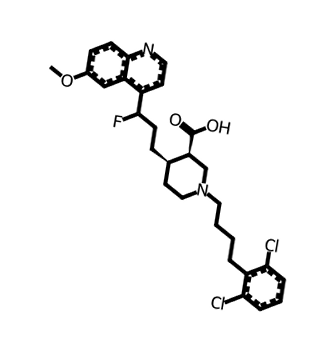 COc1ccc2nccc(C(F)CC[C@@H]3CCN(CCCCc4c(Cl)cccc4Cl)C[C@@H]3C(=O)O)c2c1